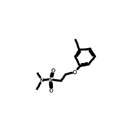 Cc1[c]ccc(OCCS(=O)(=O)N(C)C)c1